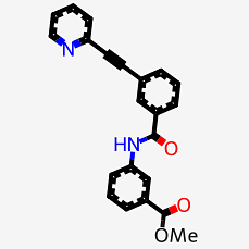 COC(=O)c1cccc(NC(=O)c2cccc(C#Cc3ccccn3)c2)c1